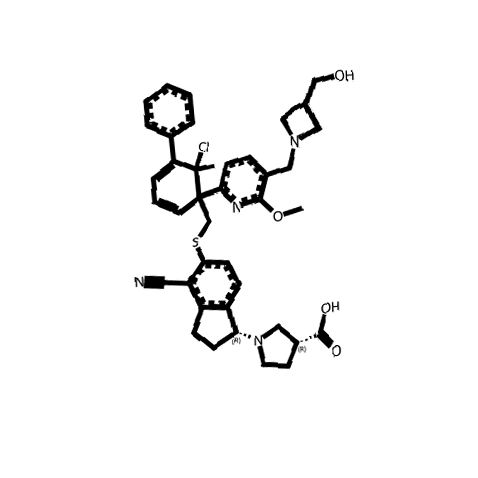 COc1nc(C2(CSc3ccc4c(c3C#N)CC[C@H]4N3CC[C@@H](C(=O)O)C3)C=CC=C(c3ccccc3)C2(C)Cl)ccc1CN1CC(CO)C1